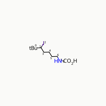 CC(C)(C)C(I)CCCCNC(=O)O